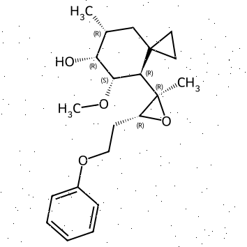 CO[C@@H]1[C@H](O)[C@H](C)CC2(CC2)[C@H]1[C@@]1(C)O[C@@H]1CCOc1ccccc1